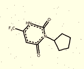 O=c1cc(C(F)(F)F)[nH]c(=O)n1C1CCCC1